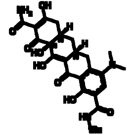 CN(C)c1cc(C(=O)NC(C)(C)C)c(O)c2c1C[C@H]1C[C@H]3CC(O)=C(C(N)=O)C(=O)[C@@]3(O)C(O)=C1C2=O